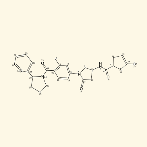 Cc1cc(N2CC(NC(=O)C3CC=C(Br)S3)CC2=O)ccc1C(=O)N1CCCC1c1ccccn1